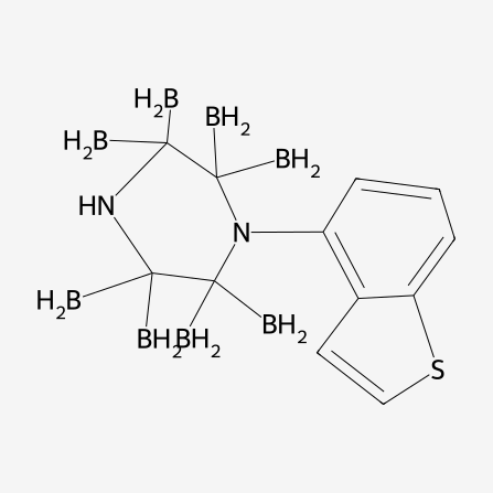 BC1(B)NC(B)(B)C(B)(B)N(c2cccc3sccc23)C1(B)B